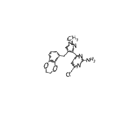 Cn1cc(Cc2cccc3c2OCCO3)c(-c2cc(Cl)nc(N)n2)n1